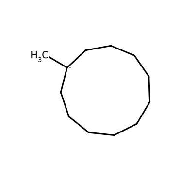 C[C]1CCCCCCCCCC1